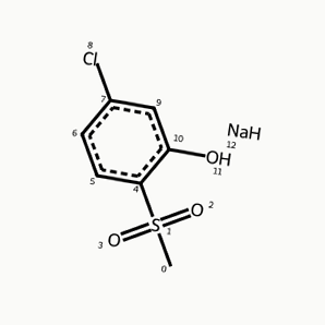 CS(=O)(=O)c1ccc(Cl)cc1O.[NaH]